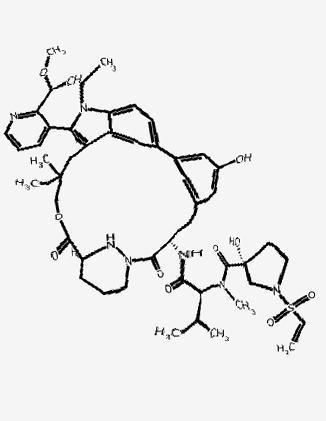 C=CS(=O)(=O)N1CC[C@](O)(C(=O)N(C)[C@H](C(=O)N[C@H]2Cc3cc(O)cc(c3)-c3ccc4c(c3)c(c(-c3cccnc3[C@H](C)OC)n4CC)CC(C)(C)COC(=O)[C@@H]3CCCN(N3)C2=O)C(C)C)C1